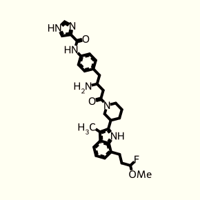 COC(F)CCc1cccc2c(C)c(C3CCCN(C(=O)CC(N)Cc4ccc(NC(=O)c5c[nH]cn5)cc4)C3)[nH]c12